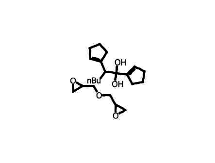 C(OCC1CO1)C1CO1.CCCCC(C1=CCCC1)C(O)(O)C1=CCCC1